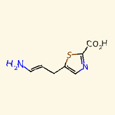 NC=CCc1cnc(C(=O)O)s1